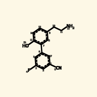 N#Cc1cc(F)cc(-c2cc(CCN)ccc2O)c1